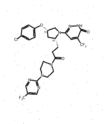 O=C(CC[C@@H]1C[C@H](Oc2ccc(Cl)cc2)CN1c1cc(C(F)(F)F)c(=O)[nH]n1)N1CCN(c2ncc(C(F)(F)F)cn2)CC1